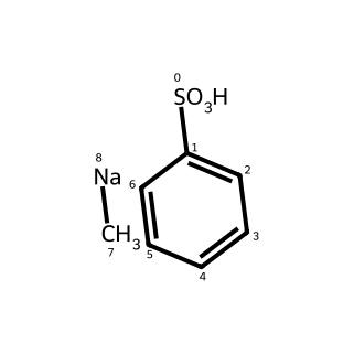 O=S(=O)(O)c1ccccc1.[CH3][Na]